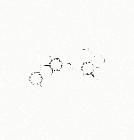 CN1CCCn2c1cc(OCc1cc(F)c(Oc3cccc(F)c3)c(F)c1)nc2=O